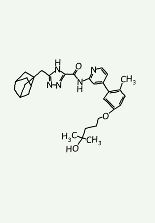 Cc1ccc(OCCCC(C)(C)O)cc1-c1ccnc(NC(=O)c2nnc(CC34CC5CC(CC3C5)C4)[nH]2)c1